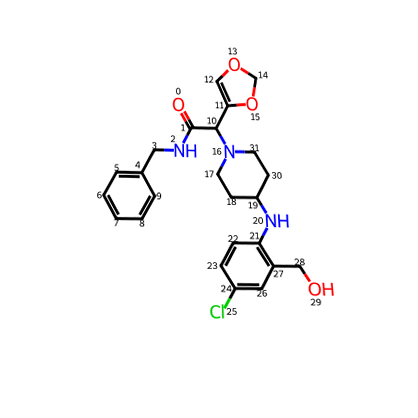 O=C(NCc1ccccc1)C(C1=COCO1)N1CCC(Nc2ccc(Cl)cc2CO)CC1